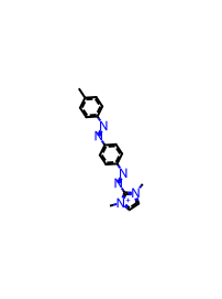 Cc1ccc(/N=N/c2ccc(/N=N/c3n(C)cc[n+]3C)cc2)cc1